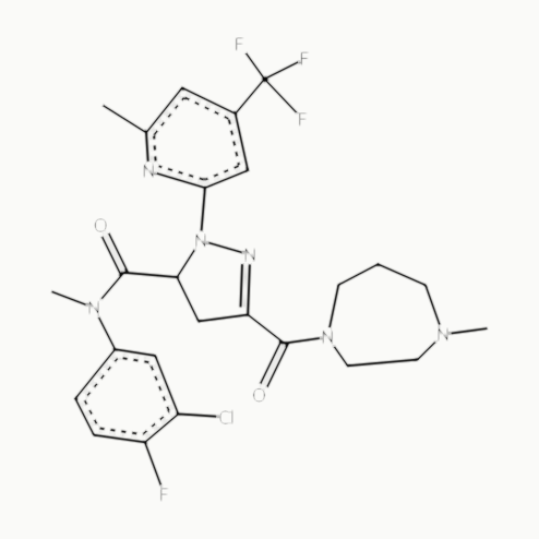 Cc1cc(C(F)(F)F)cc(N2N=C(C(=O)N3CCCN(C)CC3)CC2C(=O)N(C)c2ccc(F)c(Cl)c2)n1